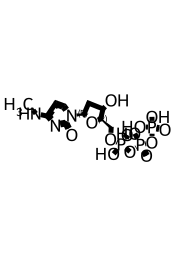 CNc1ccn([C@H]2CC(O)[C@@H](COP(=O)(O)OP(=O)(O)OP(=O)(O)O)O2)c(=O)n1